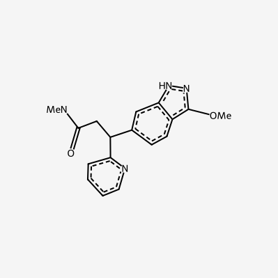 CNC(=O)CC(c1ccc2c(OC)n[nH]c2c1)c1ccccn1